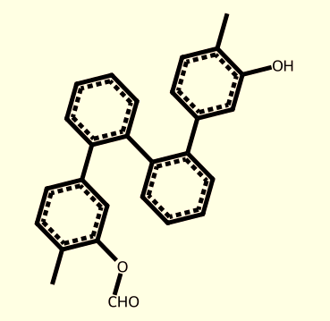 Cc1ccc(-c2ccccc2-c2ccccc2-c2ccc(C)c(OC=O)c2)cc1O